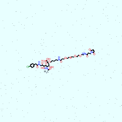 CC(=O)N[C@H]1[C@H]([C@H](O)[C@H](O)CNC(=O)Cc2ccc(Cl)cc2)O[C@@](OCCCCCNC(=O)CCOCCOCCOCCOCCNC(=O)CCN2C(=O)C=CC2=O)(C(=O)O)C[C@@H]1O